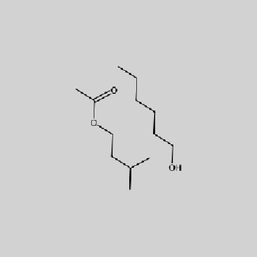 CC(=O)OCCC(C)C.CCCCCCO